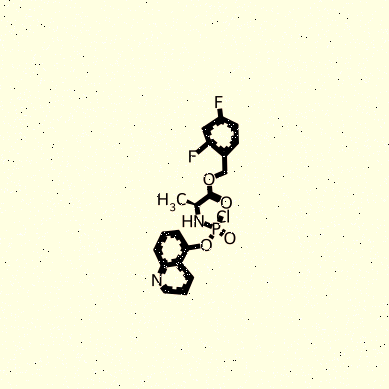 C[C@H](NP(=O)(Cl)Oc1cccc2ncccc12)C(=O)OCc1ccc(F)cc1F